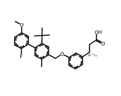 COc1ccc(F)c(-c2cc(C)c(COc3cccc([C@@H](C)CC(=O)O)c3)cc2C(C)(C)C)c1